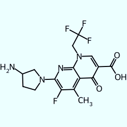 Cc1c(F)c(N2CCC(N)C2)nc2c1c(=O)c(C(=O)O)cn2CC(F)(F)F